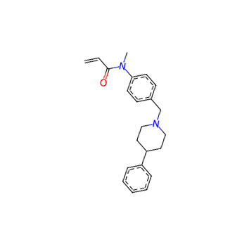 C=CC(=O)N(C)c1ccc(CN2CCC(c3ccccc3)CC2)cc1